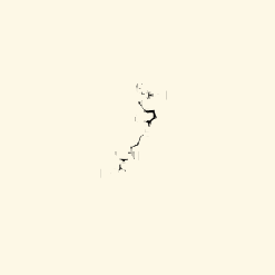 CNC(=S)NCCCSc1ccc(CN(C)C)o1